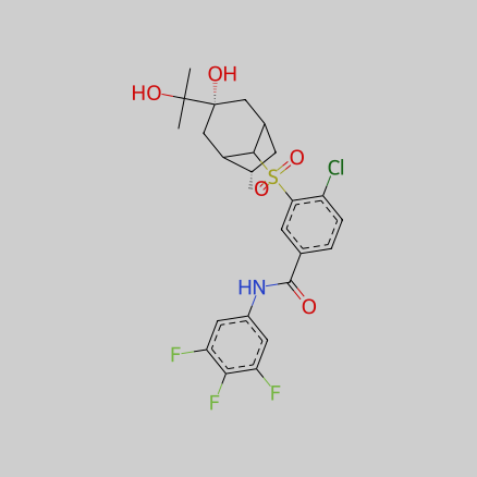 C[C@H]1CC2C[C@](O)(C(C)(C)O)CC1C2S(=O)(=O)c1cc(C(=O)Nc2cc(F)c(F)c(F)c2)ccc1Cl